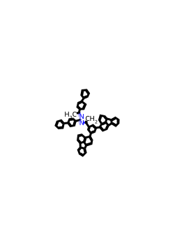 C=C(/N=C(\N=C(/C)c1ccc(-c2ccccc2)cc1)c1ccc(-c2ccccc2)cc1)c1cc(-c2ccc3c4c(cccc24)-c2ccccc2-3)cc(-c2ccc3c4c(cccc24)-c2ccccc2-3)c1